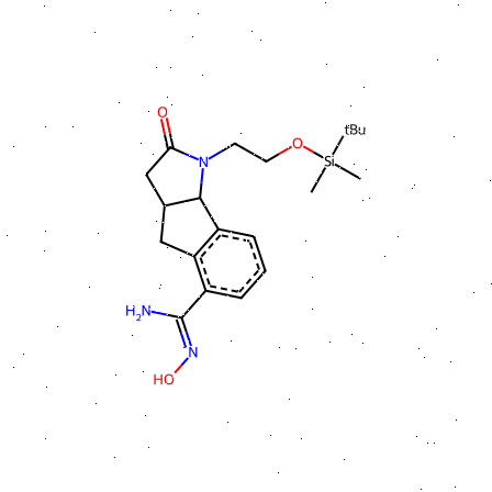 CC(C)(C)[Si](C)(C)OCCN1C(=O)CC2Cc3c(/C(N)=N/O)cccc3C21